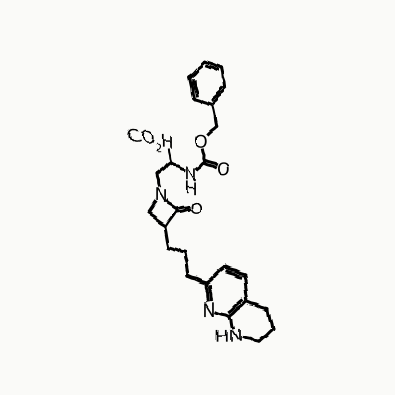 O=C(NC(CN1CC(CCCc2ccc3c(n2)NCCC3)C1=O)C(=O)O)OCc1ccccc1